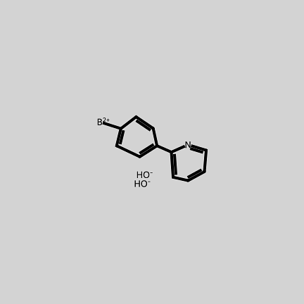 [B+2]c1ccc(-c2ccccn2)cc1.[OH-].[OH-]